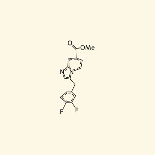 COC(=O)c1ccn2c(Cc3ccc(F)c(F)c3)cnc2c1